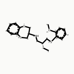 CC[C@H](CNC1COc2ccccc2SC1)CSc1ccccc1OC